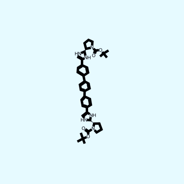 CC(C)(C)OC(=O)N1CCC[C@H]1C1NC=C(c2ccc(-c3ccc(-c4ccc(C5=CNC([C@@H]6CCCN6C(=O)OC(C)(C)C)N5)cc4)cc3)cc2)N1